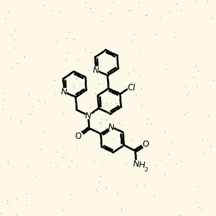 NC(=O)c1ccc(C(=O)N(Cc2ccccn2)c2ccc(Cl)c(-c3ccccn3)c2)nc1